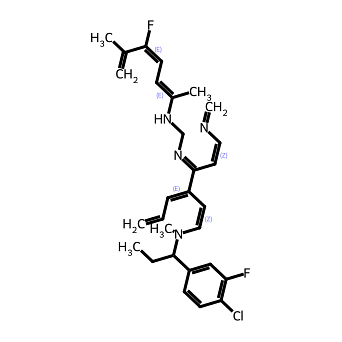 C=C/C=C(\C=C/N(C)C(CC)c1ccc(Cl)c(F)c1)C(/C=C\N=C)=NCN/C(C)=C/C=C(/F)C(=C)C